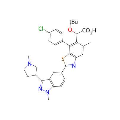 Cc1cc2nc(-c3ccc4c(c3)c(C3CCN(C)C3)nn4C)sc2c(-c2ccc(Cl)cc2)c1C(OC(C)(C)C)C(=O)O